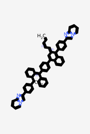 C=C/C=C\C=C1/C=C(c2ccc(/C(=C3\C=CC=CC3C(=C)c3ccc(-c4cn5ccccc5n4)cc3)c3ccccc3)cc2)C2C=CC=CC2=C1c1ccc(-c2cn3ccccc3n2)cc1